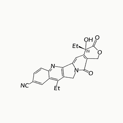 CCc1c2c(nc3ccc(C#N)cc13)-c1cc3c(c(=O)n1C2)COC(=O)[C@]3(O)CC